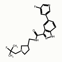 CC(C)(F)CN1CCC(CNC(=O)c2n[nH]c3ccc(-c4cncc(F)c4)cc23)C1